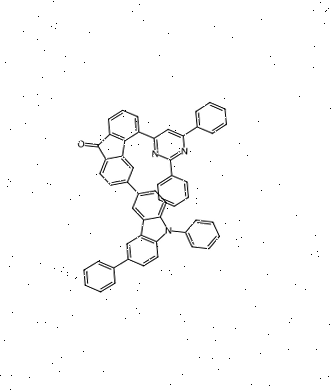 O=C1c2ccc(-c3ccc4c(c3)c3cc(-c5ccccc5)ccc3n4-c3ccccc3)cc2-c2c1cccc2-c1cc(-c2ccccc2)nc(-c2ccccc2)n1